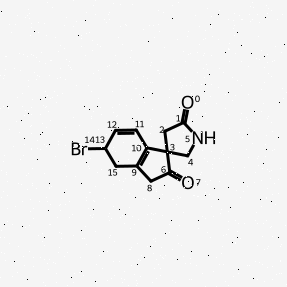 O=C1CC2(CN1)C(=O)CC1=C2C=CC(Br)C1